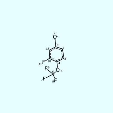 [O]c1ccc(OC(F)(F)F)c(F)c1